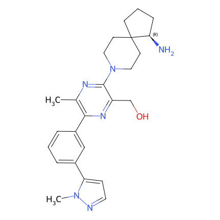 Cc1nc(N2CCC3(CCC[C@H]3N)CC2)c(CO)nc1-c1cccc(-c2ccnn2C)c1